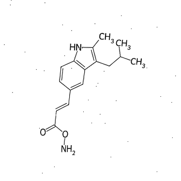 Cc1[nH]c2ccc(/C=C/C(=O)ON)cc2c1CC(C)C